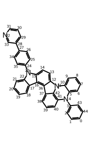 c1ccc(N2c3ccccc3-n3c4ccc5c(c6ccccc6n5-c5ccc(-c6cccnc6)cc5)c4c4cccc2c43)cc1